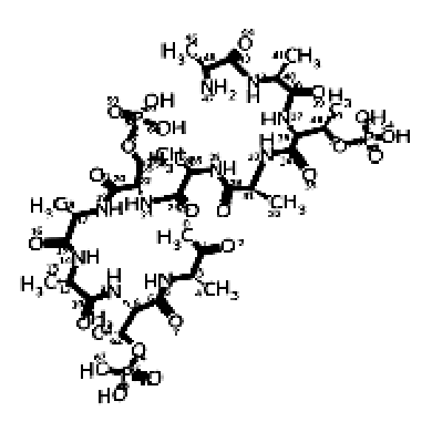 CC(=O)[C@H](C)NC(=O)[C@@H](NC(=O)[C@H](C)NC(=O)[C@H](C)NC(=O)[C@@H](NC(=O)[C@H](C)NC(=O)[C@H](C)NC(=O)[C@@H](NC(=O)[C@H](C)NC(=O)[C@H](C)N)[C@@H](C)OP(=O)(O)O)[C@@H](C)OP(=O)(O)O)[C@@H](C)OP(=O)(O)O